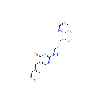 O=c1nc(NCCCC2CCCc3cccnc32)[nH]cc1Cc1cc[n+]([O-])cc1